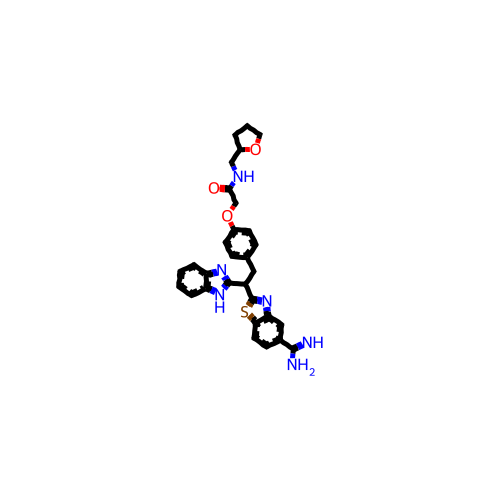 N=C(N)c1ccc2sc(C(Cc3ccc(OCC(=O)NCC4CCCO4)cc3)c3nc4ccccc4[nH]3)nc2c1